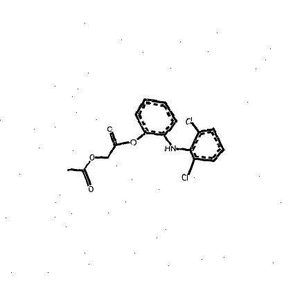 CC(=O)OCC(=O)Oc1ccccc1Nc1c(Cl)cccc1Cl